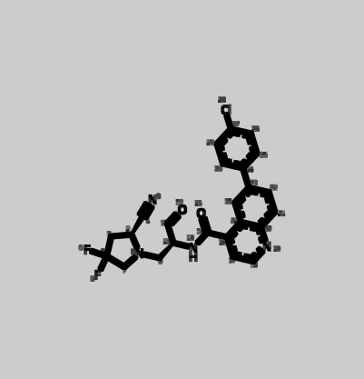 N#C[C@@H]1CC(F)(F)CN1C[C@@H](C=O)NC(=O)c1ccnc2ccc(-c3ccc(Cl)cc3)cc12